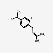 CC(C)c1ccc(C[S+]=C(N)N)cc1.[Cl-]